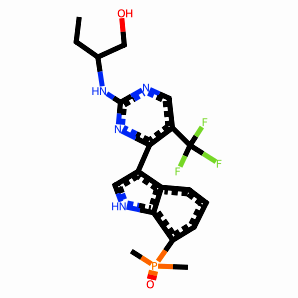 CCC(CO)Nc1ncc(C(F)(F)F)c(-c2c[nH]c3c(P(C)(C)=O)cccc23)n1